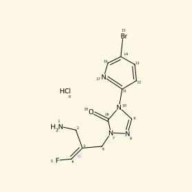 Cl.NC/C(=C\F)Cn1ncn(-c2ccc(Br)cn2)c1=O